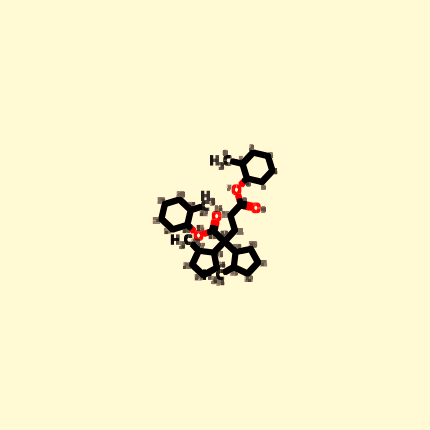 CC1CCCCC1OC(=O)CCC(C(=O)OC1CCCCC1C)(C1CCCC1C)C1CCCC1C